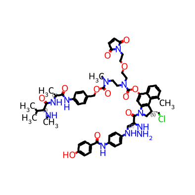 CN[C@H](C(=O)N[C@@H](C)C(=O)Nc1ccc(COC(=O)N(C)CCN(CCOCCN2C(=O)C=CC2=O)C(=O)Oc2cc3c(c4c(C)cccc24)[C@H](CCl)CN3C(=O)/C(=C/Nc2ccc(NC(=O)c3ccc(O)cc3)cc2)NN)cc1)C(C)C